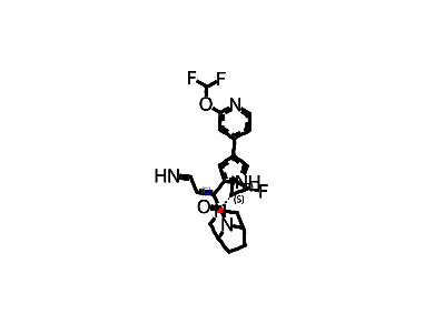 N=C/C=C(\c1cc(-c2ccnc(OC(F)F)c2)c[nH]1)N1CC2CCC(C1)N2C(=O)[C@@H]1C[C@H]1F